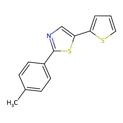 Cc1ccc(-c2ncc(-c3cccs3)s2)cc1